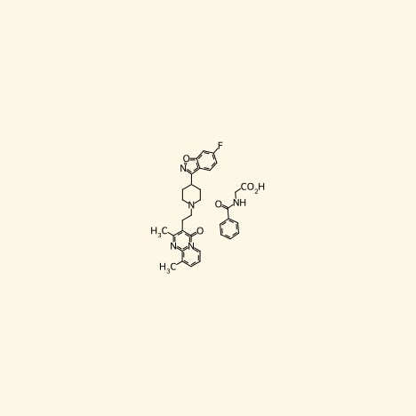 Cc1nc2c(C)cccn2c(=O)c1CCN1CCC(c2noc3cc(F)ccc23)CC1.O=C(O)CNC(=O)c1ccccc1